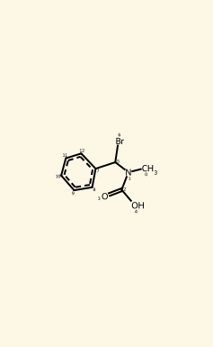 CN(C(=O)O)C(Br)c1ccccc1